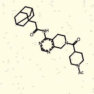 CC(=O)N1CCC(C(=O)N2CCc3c(ncnc3NC(=O)CC34CC5CC(CC(C5)C3)C4)C2)CC1